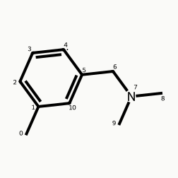 Cc1cc[c]c(CN(C)C)c1